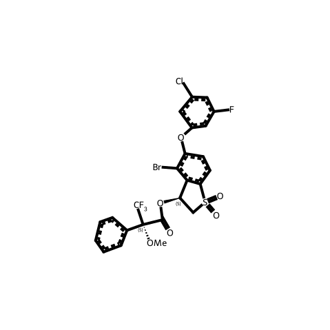 CO[C@](C(=O)O[C@@H]1CS(=O)(=O)c2ccc(Oc3cc(F)cc(Cl)c3)c(Br)c21)(c1ccccc1)C(F)(F)F